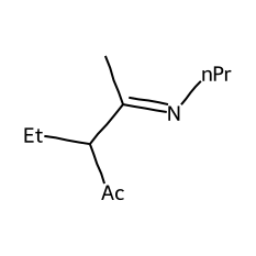 CCC/N=C(\C)C(CC)C(C)=O